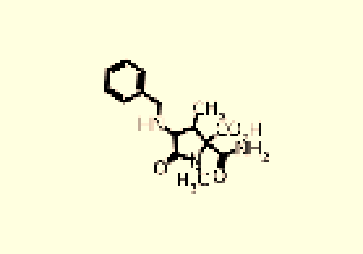 CC1C(NCc2ccccc2)C(=O)N(C)C1(C(N)=O)C(=O)O